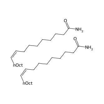 CCCCCCCC/C=C\CCCCCCCC(N)=O.CCCCCCCC/C=C\CCCCCCCC(N)=O